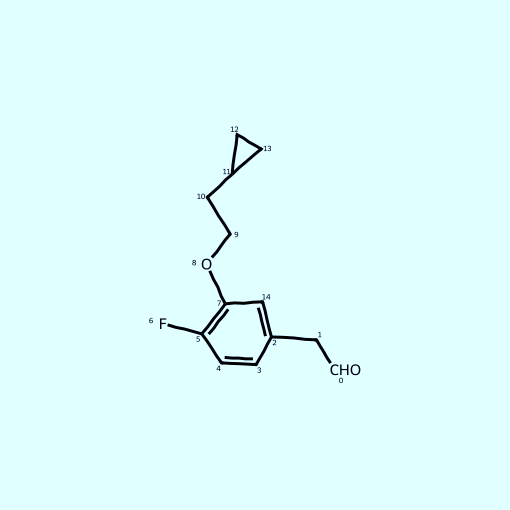 O=CCc1ccc(F)c(OCCC2CC2)c1